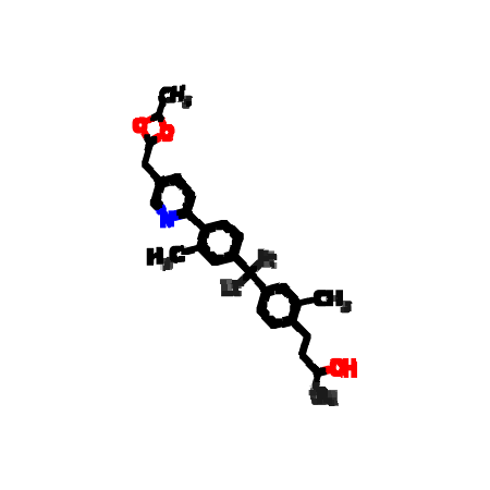 CCC(CC)(c1ccc(CCC(O)C(C)(C)C)c(C)c1)c1ccc(-c2ccc(CC3OC(C)O3)cn2)c(C)c1